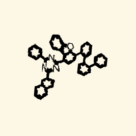 c1ccc(-c2nc(-c3ccc4ccccc4c3)nc(-c3ccc(-c4ccccc4-c4ccccc4-c4ccccc4)c4oc5ccccc5c34)n2)cc1